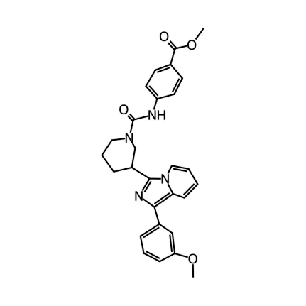 COC(=O)c1ccc(NC(=O)N2CCCC(c3nc(-c4cccc(OC)c4)c4ccccn34)C2)cc1